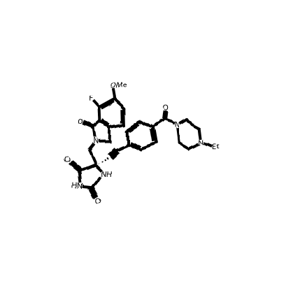 CCN1CCN(C(=O)c2ccc(C#C[C@]3(CN4Cc5ccc(OC)c(F)c5C4=O)NC(=O)NC3=O)cc2)CC1